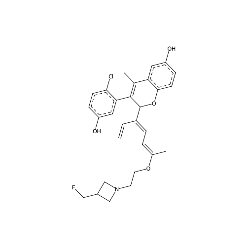 C=C/C(=C\C=C(/C)OCCN1CC(CF)C1)C1Oc2ccc(O)cc2C(C)=C1c1cc(O)ccc1Cl